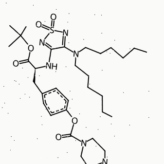 CCCCCCN(CCCCCC)C1=NS(=O)(=O)N=C1N[C@@H](Cc1ccc(OC(=O)N2CCN(C)CC2)cc1)C(=O)OC(C)(C)C